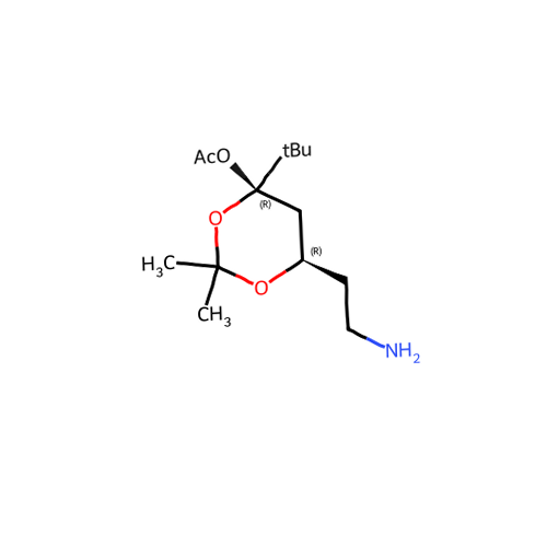 CC(=O)O[C@@]1(C(C)(C)C)C[C@@H](CCN)OC(C)(C)O1